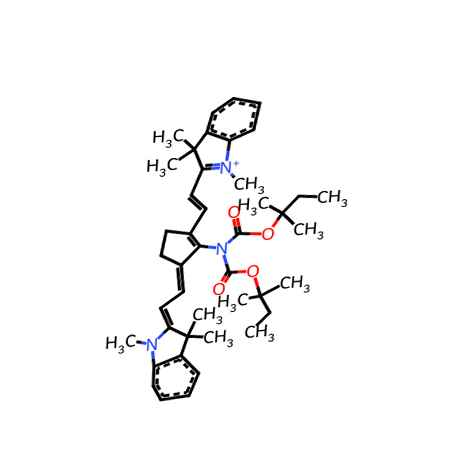 CCC(C)(C)OC(=O)N(C(=O)OC(C)(C)CC)C1=C(/C=C/C2=[N+](C)c3ccccc3C2(C)C)CC/C1=C\C=C1\N(C)c2ccccc2C1(C)C